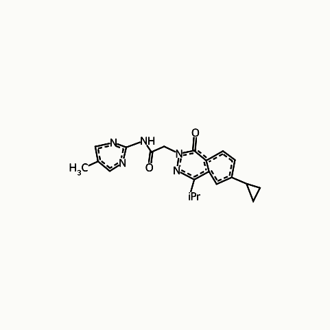 Cc1cnc(NC(=O)Cn2nc(C(C)C)c3cc(C4CC4)ccc3c2=O)nc1